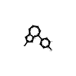 Cc1cc2ccccc(-c3ccc(F)cc3)c-2c1